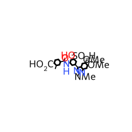 CNc1nc(-c2cccc(NC(=O)c3ccc(C(=O)O)c(C)c3)c2)c2cc(OC)c(OC)cc2n1.O=S(=O)(O)O